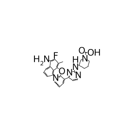 Cc1c(F)c(N)c2ccccc2c1Oc1ncccc1-c1ccnc(N[C@H]2CCCN(C(=O)O)C2)n1